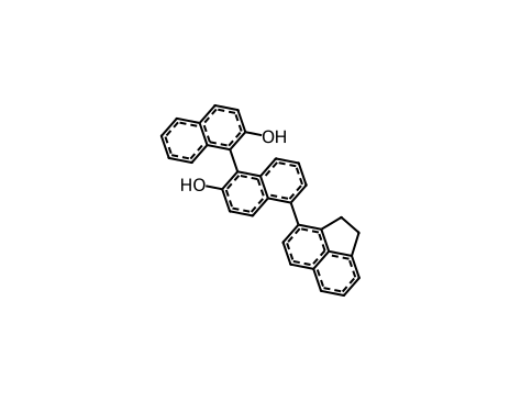 Oc1ccc2ccccc2c1-c1c(O)ccc2c(-c3ccc4cccc5c4c3CC5)cccc12